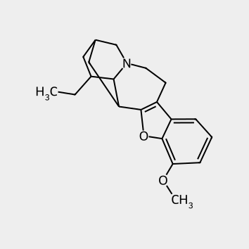 CCC1CC2CC3c4oc5c(OC)cccc5c4CCN(C2)C13